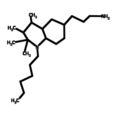 CCCCCCN1C2CCC(CCCN)CC2C(C)C(C)C1(C)C